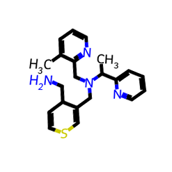 Cc1cccnc1CN(CC1=CSC=CC1CN)C(C)c1ccccn1